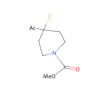 COC(=O)N1CCC(F)(C(C)=O)CC1